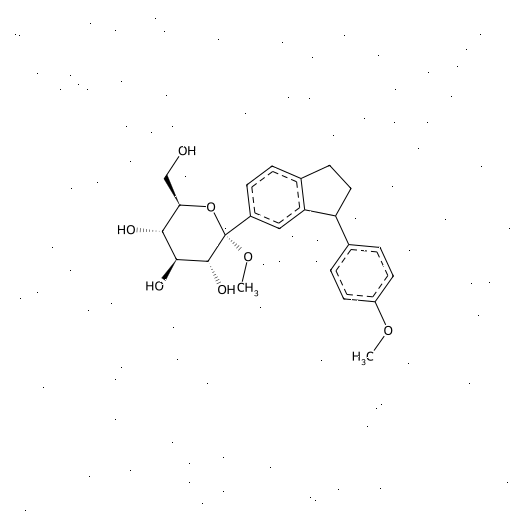 COc1ccc(C2CCc3ccc([C@]4(OC)O[C@H](CO)[C@@H](O)[C@H](O)[C@H]4O)cc32)cc1